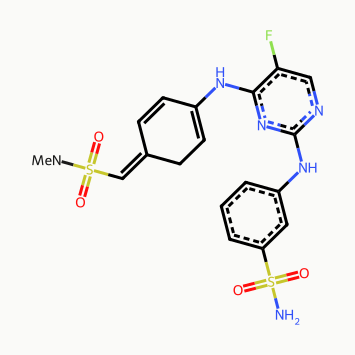 CNS(=O)(=O)C=C1C=CC(Nc2nc(Nc3cccc(S(N)(=O)=O)c3)ncc2F)=CC1